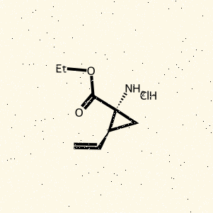 C=C[C@@H]1C[C@]1(N)C(=O)OCC.Cl